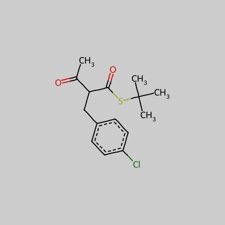 CC(=O)C(Cc1ccc(Cl)cc1)C(=O)SC(C)(C)C